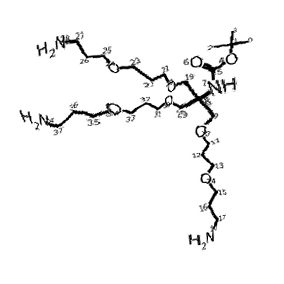 CC(C)(C)OC(=O)NC(COCCCOCCCN)(COCCCOCCCN)COCCCOCCCN